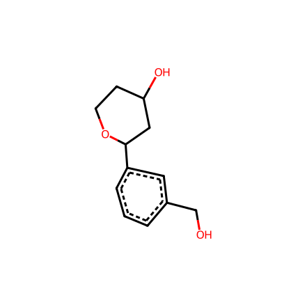 OCc1cccc(C2CC(O)CCO2)c1